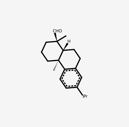 CC(C)c1ccc2c(c1)CC[C@H]1[C@](C)(C=O)CCC[C@]21C